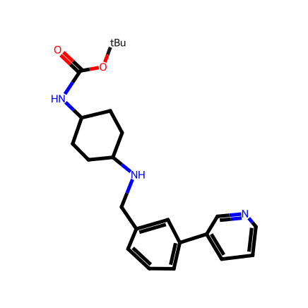 CC(C)(C)OC(=O)NC1CCC(NCc2cccc(-c3cccnc3)c2)CC1